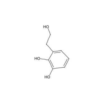 OCCc1cccc(O)c1O